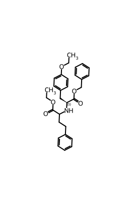 CCOC(=O)C(CCc1ccccc1)N[C@@H](Cc1ccc(OCC)cc1)C(=O)OCc1ccccc1